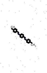 CCc1ccc(/C=C/c2ccc(/C=C/c3ccc(CC)cc3)cc2)cc1